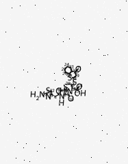 Nc1nc(CC(=O)NC2C(=O)N3C(C(=O)O)=C(Sc4cc(=O)c5ccccc5s4)CS[C@@H]23)cs1